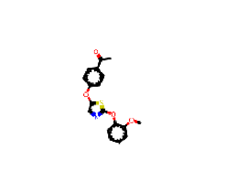 COc1ccccc1Oc1ncc(Oc2ccc(C(C)=O)cc2)s1